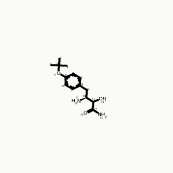 CC(C)(C)Oc1ccc(C[C@H](N)C(O)C(N)=O)cc1